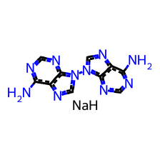 Nc1ncnc2c1ncn2-n1cnc2c(N)ncnc21.[NaH]